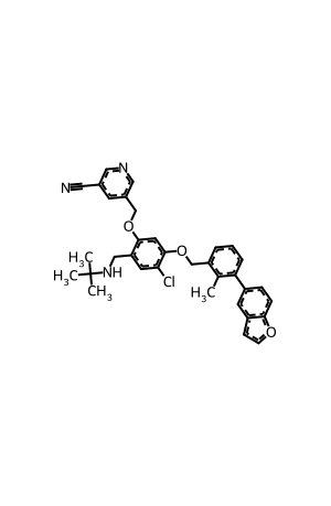 Cc1c(COc2cc(OCc3cncc(C#N)c3)c(CNC(C)(C)C)cc2Cl)cccc1-c1ccc2occc2c1